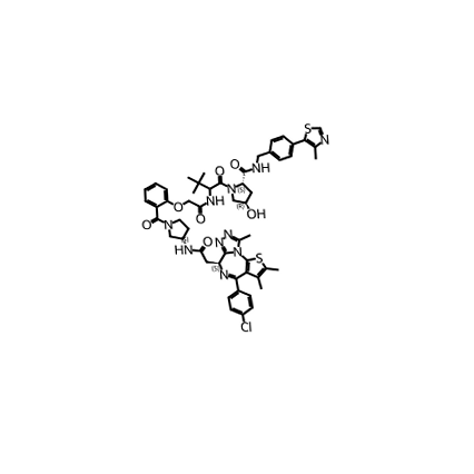 Cc1ncsc1-c1ccc(CNC(=O)[C@@H]2C[C@@H](O)CN2C(=O)C(NC(=O)COc2ccccc2C(=O)N2CC[C@H](NC(=O)C[C@@H]3N=C(c4ccc(Cl)cc4)c4c(sc(C)c4C)-n4c(C)nnc43)C2)C(C)(C)C)cc1